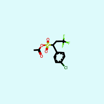 CC(=O)OS(=O)(=O)C(CC(F)(F)F)c1ccc(Cl)cc1